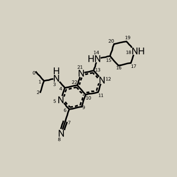 CC(C)Nc1nc(C#N)cc2cnc(NC3CCNCC3)nc12